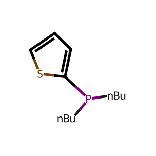 CCCCP(CCCC)c1cccs1